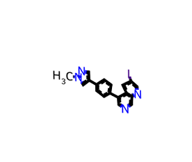 Cn1cc(-c2ccc(-c3cncc4ncc(I)cc34)cc2)cn1